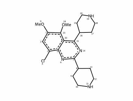 COc1cc(Cl)c2nc(C3CCNCC3)nc(C3CCNCC3)c2c1OC